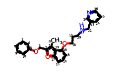 Cc1c(COc2ccccc2)oc2cccc(OCCCNCc3cccnc3)c12